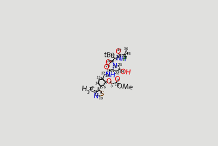 COC(=O)COc1cc(-c2scnc2C)ccc1CNC(=O)[C@@H]1C[C@@H](O)CN1C(=O)[C@@H](NC(=O)C1(F)CC1)C(C)(C)C